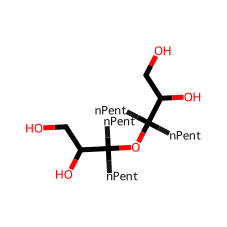 CCCCCC(CCCCC)(OC(CCCCC)(CCCCC)C(O)CO)C(O)CO